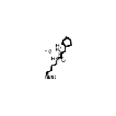 CCCCCCCCCCCCCCNC(=O)[C@@H](N)Cc1ccccc1.Cl